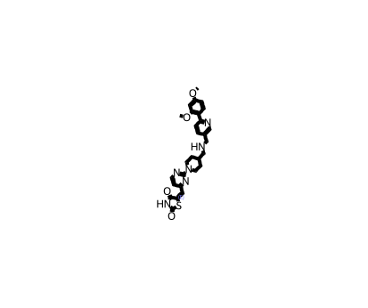 COc1ccc(-c2ccc(CNCC3CCN(c4nccc(/C=C5/SC(=O)NC5=O)n4)CC3)cn2)c(OC)c1